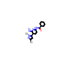 CCc1cc(-c2ccc(NC(=O)c3ccccc3)nc2N)n(CC)n1